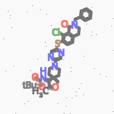 C[C@@H]1OCC2(CCN(c3cnc(Sc4ccc5c(c4Cl)C(=O)N(Cc4ccccc4)CC5)cn3)CC2)[C@@H]1NS(=O)(=O)C(C)(C)C